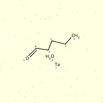 CCCCC=O.O.[Ta]